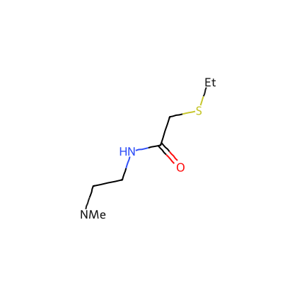 CCSCC(=O)NCCNC